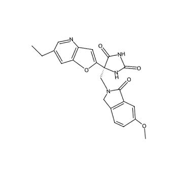 CCc1cnc2cc([C@]3(CN4Cc5ccc(OC)cc5C4=O)NC(=O)NC3=O)oc2c1